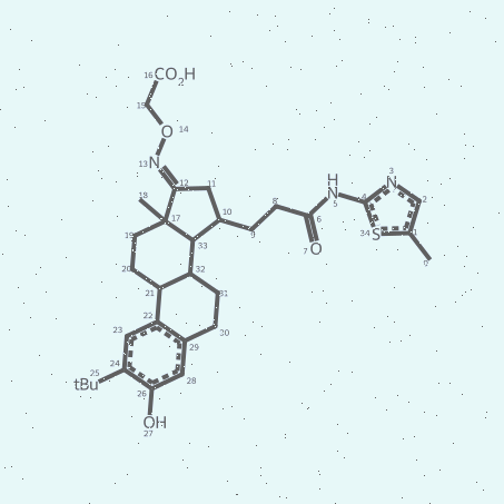 Cc1cnc(NC(=O)CCC2C/C(=N\OCC(=O)O)C3(C)CCC4c5cc(C(C)(C)C)c(O)cc5CCC4C23)s1